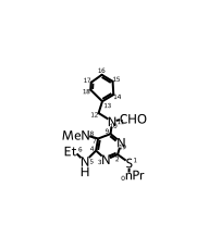 CCCSc1nc(NCC)c(NC)c(N(C=O)Cc2ccccc2)n1